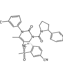 [C-]#[N+]C1=C(C)N(c2cccc(C(F)(F)F)c2)C(=O)N(C(=O)N2CCCC2c2cccnc2)[C@@H]1c1ccc(C#N)cc1S(C)(=O)=O